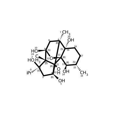 CC(C)[C@@]1(O)C[C@@]2(O)[C@@]3(C)C[C@]4(O)O[C@@]5([C@H](O)[C@@H](C)CC[C@]35O)[C@@]2(O)[C@@]41C